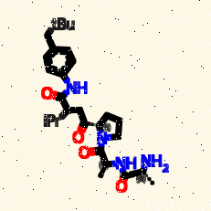 CC(C)C(CC(=O)[C@@H]1CCCN1C(=O)[C@H](C)NC(=O)[C@@H](C)N)C(=O)Nc1ccc(CC(C)(C)C)cc1